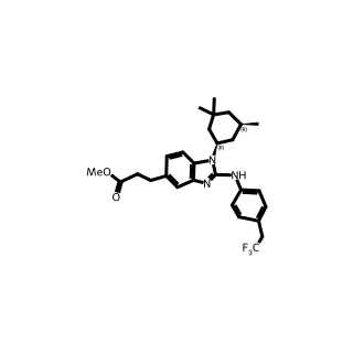 COC(=O)CCc1ccc2c(c1)nc(Nc1ccc(CC(F)(F)F)cc1)n2[C@@H]1C[C@H](C)CC(C)(C)C1